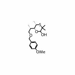 COc1ccc(COC[C@H](C)[C@H]2OC(O)C(C)(C)S[C@H]2C)cc1